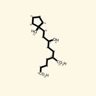 O=C(O)CCCC(CCC(O)CCC1(O)CCCC1)C(=O)O